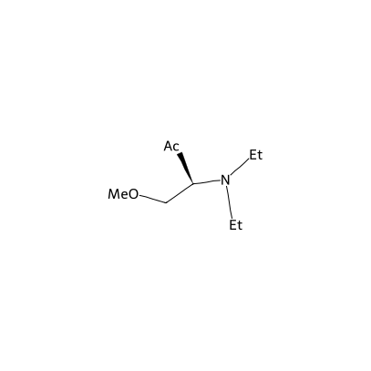 CCN(CC)[C@@H](COC)C(C)=O